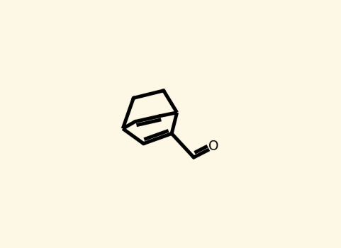 O=CC1=CC2C=CC1CC2